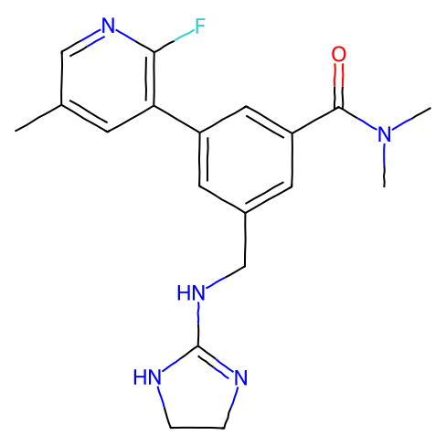 Cc1cnc(F)c(-c2cc(CNC3=NCCN3)cc(C(=O)N(C)C)c2)c1